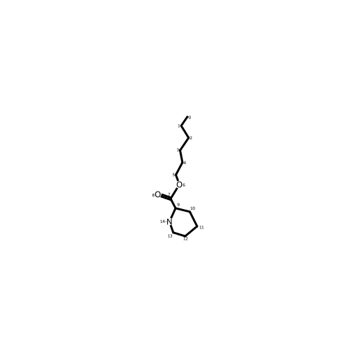 CCCCCCOC(=O)C1CCCC[N]1